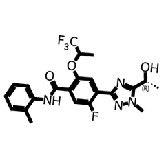 Cc1ccccc1NC(=O)c1cc(F)c(-c2nc([C@@H](C)O)n(C)n2)cc1OC(C)C(F)(F)F